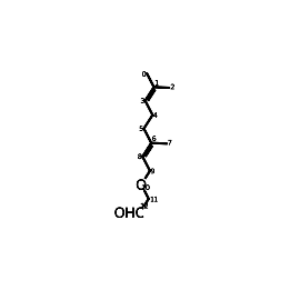 CC(C)=CCC/C(C)=C/COCC=O